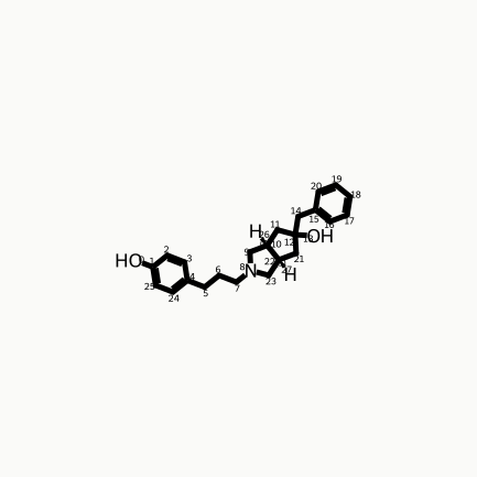 Oc1ccc(CCCN2C[C@@H]3CC(O)(Cc4ccccc4)C[C@@H]3C2)cc1